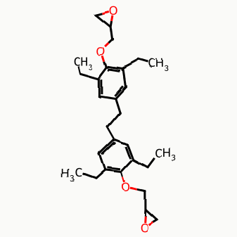 CCc1cc(CCc2cc(CC)c(OCC3CO3)c(CC)c2)cc(CC)c1OCC1CO1